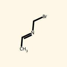 CC=NCBr